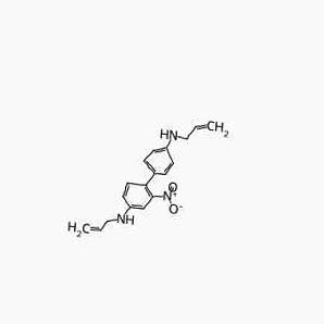 C=CCNc1ccc(-c2ccc(NCC=C)cc2[N+](=O)[O-])cc1